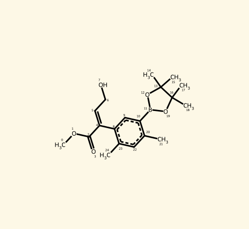 COC(=O)/C(=C/CO)c1cc(B2OC(C)(C)C(C)(C)O2)c(C)cc1C